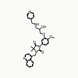 COc1ccc(N2C(=O)N(Cc3ccnc4ccccc34)C(C)(C)C2=O)cc1OCC(O)CNCc1ccncc1